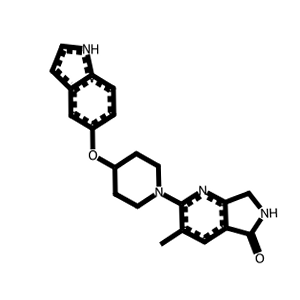 Cc1cc2c(nc1N1CCC(Oc3ccc4[nH]ccc4c3)CC1)CNC2=O